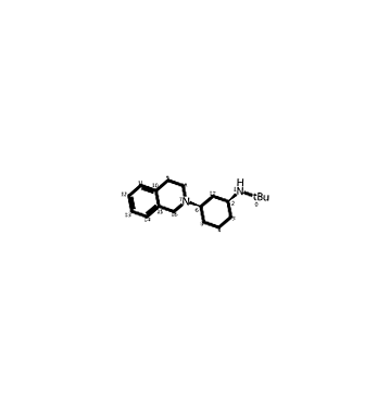 CC(C)(C)N[C@H]1CCC[C@@H](N2CCc3ccccc3C2)C1